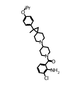 CC(C)Oc1ccc(C2(C)CC23CCN(C2CCN(C(=O)c4cccc(Cl)c4N)CC2)CC3)cc1